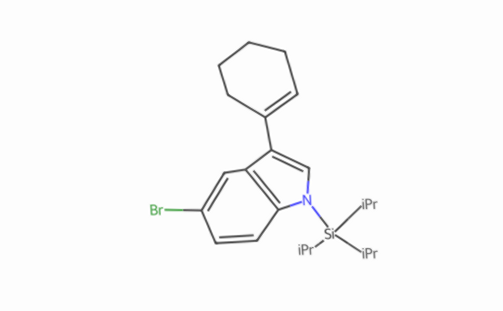 CC(C)[Si](C(C)C)(C(C)C)n1cc(C2=CCCCC2)c2cc(Br)ccc21